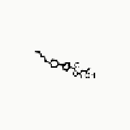 CCCCCC1CCC(c2ccc(C(=O)OC(C)CC(C)O)cc2)CC1